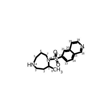 CC1CCNCCCN1S(=O)(=O)c1ccc2cnccc2c1